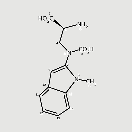 Cn1c(N(C[C@H](N)C(=O)O)C(=O)O)cc2ccccc21